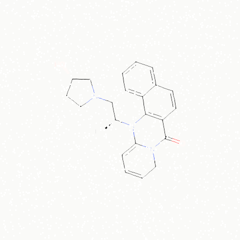 C[C@@H](CN1CC[C@H](O)C1)N1C2=CC=CCN2C(=O)c2ccc3ccccc3c21